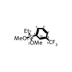 CC[Si](OC)(OC)c1cccc(C(F)(F)F)c1